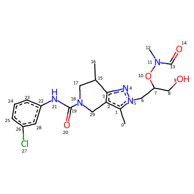 Cc1c2c(nn1CC(CO)ON(C)C=O)C(C)CN(C(=O)Nc1cccc(Cl)c1)C2